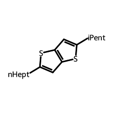 [CH2]CCC(C)c1cc2sc(CCCCCCC)cc2s1